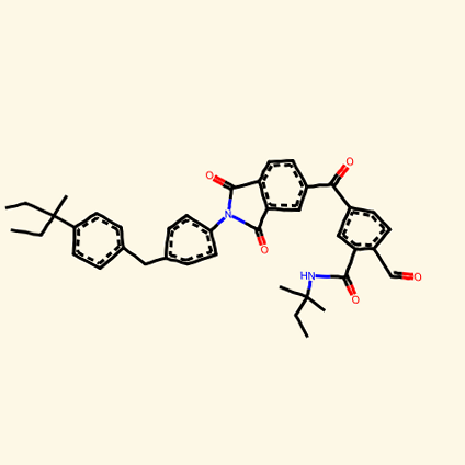 CCC(C)(C)NC(=O)c1cc(C(=O)c2ccc3c(c2)C(=O)N(c2ccc(Cc4ccc(C(C)(CC)CC)cc4)cc2)C3=O)ccc1C=O